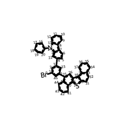 Brc1cc(-c2ccc3c4ccccc4n(-c4ccccc4)c3c2)cc(-c2cc3c(sc4ccc5ccccc5c43)c3ccccc23)c1